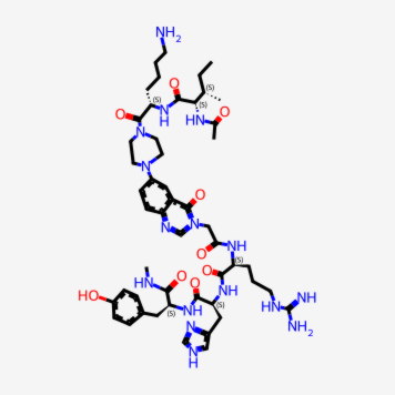 CC[C@H](C)[C@H](NC(C)=O)C(=O)N[C@@H](CCCCN)C(=O)N1CCN(c2ccc3ncn(CC(=O)N[C@@H](CCCNC(=N)N)C(=O)N[C@@H](Cc4c[nH]cn4)C(=O)N[C@@H](Cc4ccc(O)cc4)C(=O)NC)c(=O)c3c2)CC1